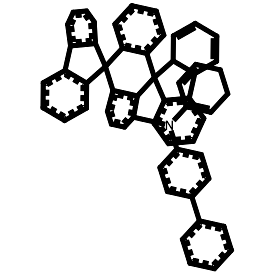 C1=CC2c3ccccc3C3(c4ccccc4C4(c5ccccc5-c5ccccc54)c4cccc(N(C5=CCCC=C5)c5ccc(-c6ccccc6)cc5)c43)C2C=C1